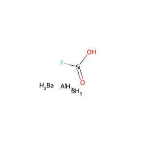 B.O=[Si](O)F.[AlH3].[BaH2]